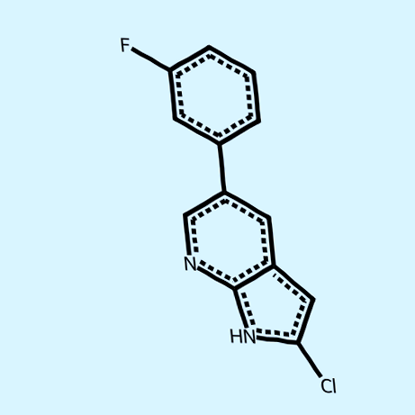 Fc1cccc(-c2cnc3[nH]c(Cl)cc3c2)c1